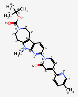 Cc1ccc(-c2ccn(-c3ccc4c5c(n(C)c4n3)CCN(C(=O)OC(C)(C)C)CC5)c(=O)c2)nc1